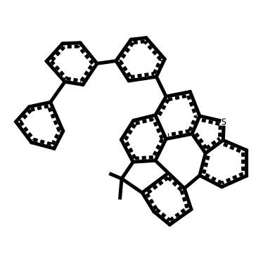 CC1(C)c2cccc3c2-c2c1ccc1c(-c4cccc(-c5cccc(-c6ccccc6)c5)c4)cc4sc5cccc-3c5c4c21